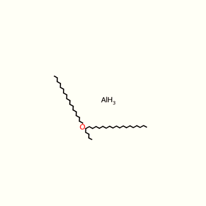 CCCCCCCCCCCCCCCCCCOC(CCCC)CCCCCCCCCCCCCCCCCC.[AlH3]